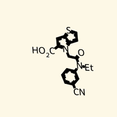 CCN(C(=O)Cn1c(C(=O)O)cc2sccc21)c1cccc(C#N)c1